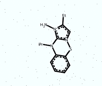 CCc1cn2c([n+]1N)N(C(C)C)c1ccccc1S2